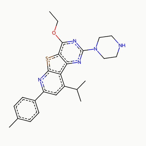 CCOc1nc(N2CCNCC2)nc2c1sc1nc(-c3ccc(C)cc3)cc(C(C)C)c12